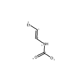 CC/C=C/NC([O])=O